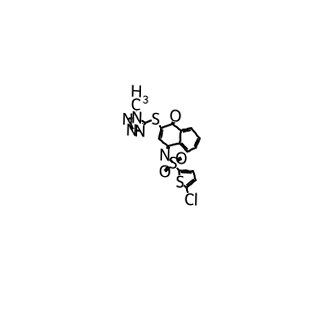 Cn1nnnc1SC1=C/C(=N/S(=O)(=O)c2ccc(Cl)s2)c2ccccc2C1=O